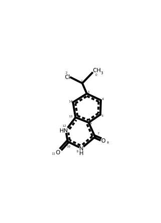 CC(Cl)c1ccc2c(=O)[nH]c(=O)[nH]c2c1